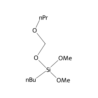 CCCC[Si](OC)(OC)OCOCCC